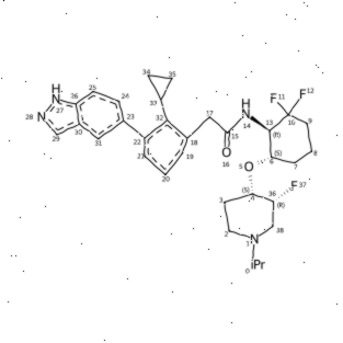 CC(C)N1CC[C@H](O[C@H]2CCCC(F)(F)[C@@H]2NC(=O)Cc2cccc(-c3ccc4[nH]ncc4c3)c2C2CC2)[C@H](F)C1